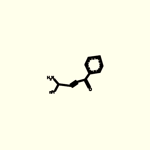 CCCC(N)C#CC(=O)c1ccccc1